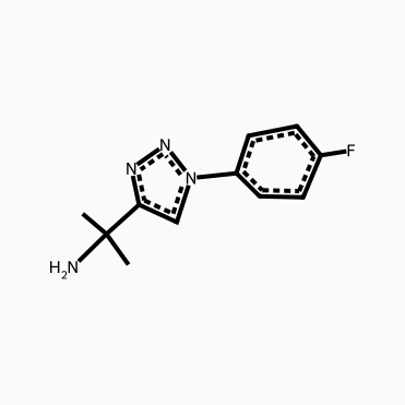 CC(C)(N)c1cn(-c2ccc(F)cc2)nn1